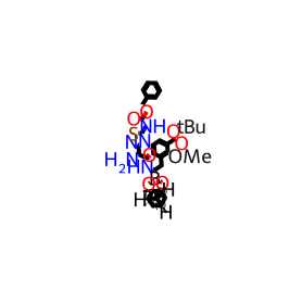 COc1c(CC(NC(=O)C(N)c2nsc(NC(=O)OCc3ccccc3)n2)B2O[C@@H]3C[C@@H]4C[C@@H](C4(C)C)[C@]3(C)O2)cccc1C(=O)OC(C)(C)C